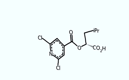 CC(C)C[C@@H](OC(=O)c1cc(Cl)nc(Cl)c1)C(=O)O